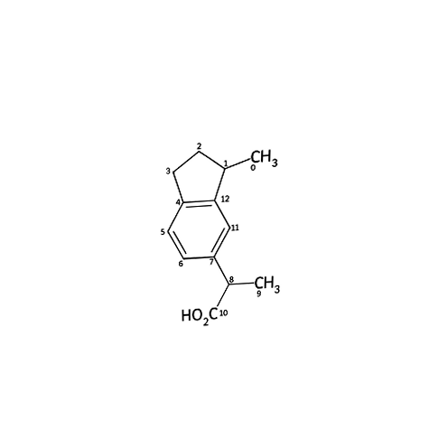 CC1CCc2ccc(C(C)C(=O)O)cc21